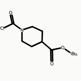 CC(C)(C)OC(=O)C1CCN(C(=O)Cl)CC1